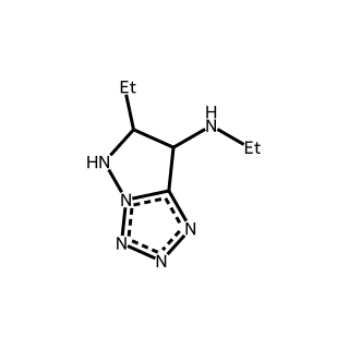 CCNC1c2nnnn2NC1CC